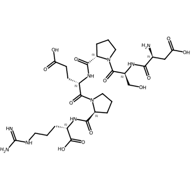 N=C(N)NCCC[C@H](NC(=O)[C@@H]1CCCN1C(=O)[C@H](CCC(=O)O)NC(=O)[C@@H]1CCCN1C(=O)[C@H](CO)NC(=O)[C@@H](N)CC(=O)O)C(=O)O